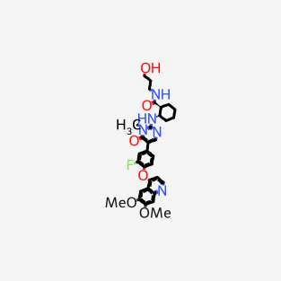 COc1cc2nccc(Oc3ccc(-c4cnc(N[C@@H]5CCCC[C@@H]5C(=O)NCCCO)n(C)c4=O)cc3F)c2cc1OC